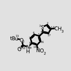 Cc1csc(-c2ccc(NC(=O)OC(C)(C)C)c([N+](=O)[O-])c2)c1